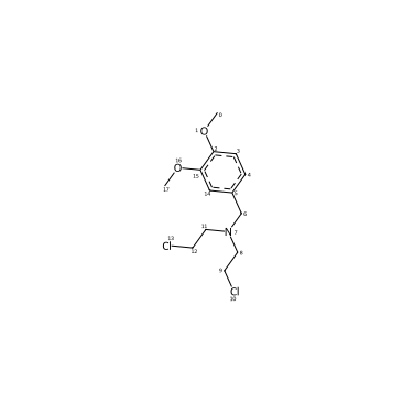 COc1ccc(CN(CCCl)CCCl)cc1OC